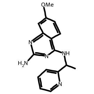 COc1ccc2c(NC(C)c3ccccn3)nc(N)nc2c1